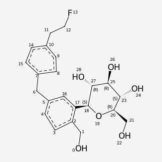 OCc1ccc(Cc2ccc(CCF)cc2)cc1[C@@H]1O[C@H](CO)[C@@H](O)[C@H](O)[C@H]1O